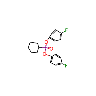 O=P(Oc1ccc(F)cc1)(Oc1ccc(F)cc1)C1CCCCC1